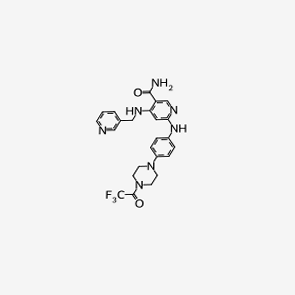 NC(=O)c1cnc(Nc2ccc(N3CCN(C(=O)C(F)(F)F)CC3)cc2)cc1NCc1cccnc1